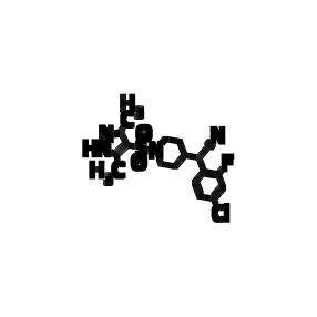 Cc1n[nH]c(C)c1S(=O)(=O)N1CCC(C(C#N)c2ccc(Cl)cc2F)CC1